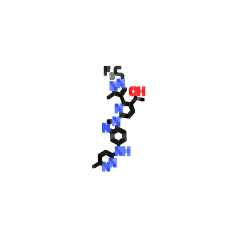 Cc1ccc(Nc2ccc3c(c2)ncn3-c2ccc([C@H](C)O)c(-c3cn(CC(F)(F)F)nc3C)n2)nn1